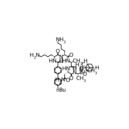 CCCCc1ccc(-c2ccc(C(=O)N[C@@H](CCCCN)C(=O)N[C@@H](CCCCN)C(=O)N[C@@H](C)C(=O)N[C@@H](CC(N)=O)C(=O)N[C@@H](C)B3OC4C[C@@H]5C[C@@H](C5(C)C)[C@]4(C)O3)cc2)cc1